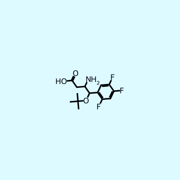 CC(C)(C)OC(c1cc(F)c(F)cc1F)C(N)CC(=O)O